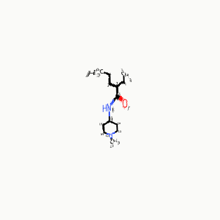 CCCC(CC)C(=O)NC1CCN(C)CC1